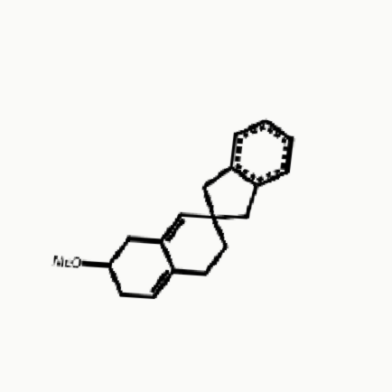 COC1CC=C2CCC3(C=C2C1)Cc1ccccc1C3